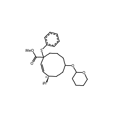 COC(=O)C1(Sc2ccccc2)C=C[C@H](C(C)C)CCC(OC2CCCCO2)CCC1